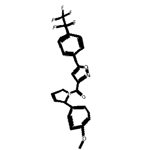 COc1ccc(C2CCCN2C(=O)c2cc(-c3ccc(C(F)(F)C(F)(F)F)cc3)on2)cc1